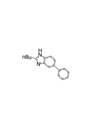 CCCCc1nc2cc(-c3ccccc3)ccc2[nH]1